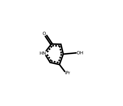 CC(C)c1c[nH]c(=O)cc1O